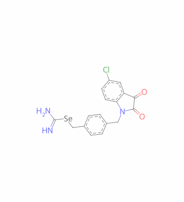 N=C(N)[Se]Cc1ccc(CN2C(=O)C(=O)c3cc(Cl)ccc32)cc1